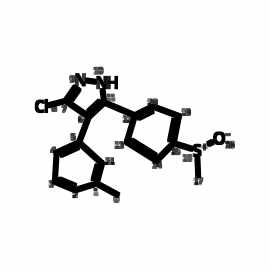 Cc1cccc(-c2c(Cl)n[nH]c2-c2ccc([S+](C)[O-])cc2)c1